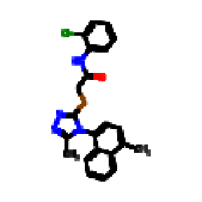 Cc1ccc(-n2c(C)nnc2SCC(=O)Nc2ccccc2Cl)c2ccccc12